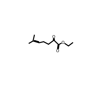 CCOC(=O)C(=O)CCC=C(C)C